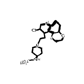 O=C(O)NC1CCN(CCc2c(Cl)cnc3ccc4c(c23)OCCO4)CC1